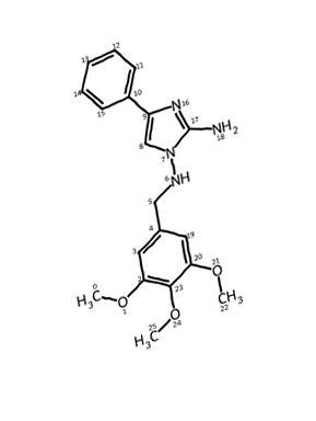 COc1cc(CNn2cc(-c3ccccc3)nc2N)cc(OC)c1OC